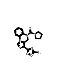 CCc1nc(-c2ncn3c2CN(C(=O)N2CCCC2)c2ccccc2-3)no1